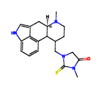 CN1C(=O)CN(CC2CCN(C)[C@@H]3Cc4c[nH]c5cccc(c45)C23)C1=S